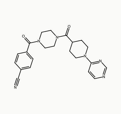 N#Cc1ccc(C(=O)N2CCN(C(=O)C3CCN(c4ccncn4)CC3)CC2)cc1